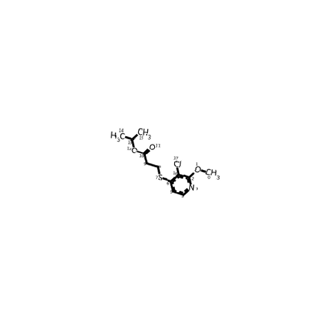 COc1nccc(SCCC(=O)OC(C)C)c1Cl